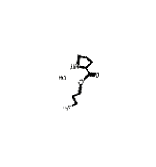 CCCCOC(=O)[C@@H]1CCCN1.Cl